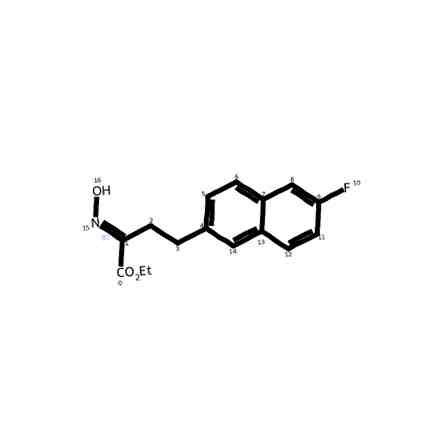 CCOC(=O)/C(CCc1ccc2cc(F)ccc2c1)=N/O